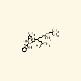 CC(C)=CCC/C(C)=C/CC/C(=C/CSCC(Nc1cc(C)c[nH]1)c1nc2ccccc2[nH]1)CC=C(C)C